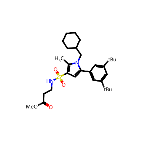 COC(=O)CCNS(=O)(=O)c1cc(-c2cc(C(C)(C)C)cc(C(C)(C)C)c2)n(CC2CCCCC2)c1C